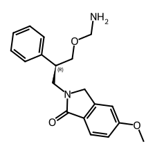 COc1ccc2c(c1)CN(C[C@H](COCN)c1ccccc1)C2=O